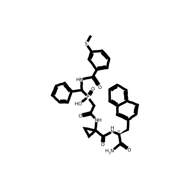 CSc1cccc(C(=O)NC(c2ccccc2)P(=O)(O)CC(=O)NC2(C(=O)N[C@@H](Cc3ccc4ccccc4c3)C(N)=O)CC2)c1